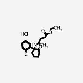 CCOC(=O)CCC(C)NC1(c2ccccc2Cl)CCCCC1=O.Cl